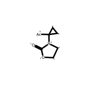 CC(=O)C1(N2CCOC2=O)CC1